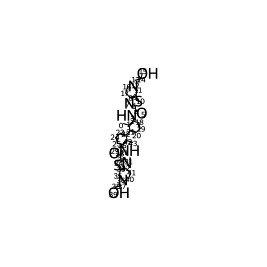 Cc1c(NC(=O)c2nc3c(s2)CN(CCO)CC3)cccc1-c1cccc(NC(=O)c2nc3c(s2)CN(CCO)CC3)c1C